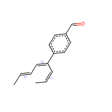 C\C=C/C(=C\C=C\C)c1ccc(C=O)cc1